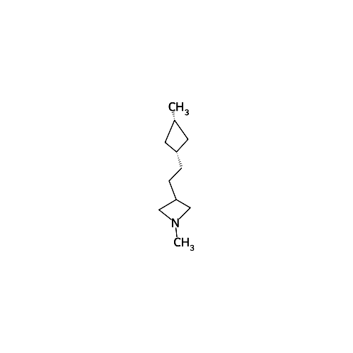 CN1CC(CC[C@H]2C[C@@H](C)C2)C1